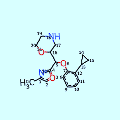 Cc1coc(C(Oc2ccccc2C2CC2)C2CNCCO2)n1